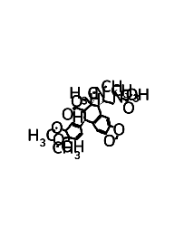 COC1C=C([C@@H]2c3cc4c(cc3[C@@H](C(CN(C)C(=O)O)N(C)C)[C@@H]3COC(=O)[C@H]32)OCO4)C=CC1(O)OC